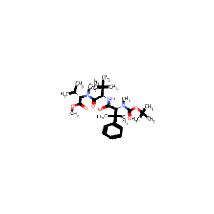 COC(=O)[C@H](C(C)C)N(C)C(=O)[C@@H](NC(=O)[C@H](N(C)C(=O)OC(C)(C)C)C(C)(C)c1ccccc1)C(C)(C)C